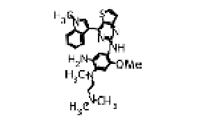 COc1cc(N(C)CCN(C)C)c(N)cc1Nc1nc(-c2cn(C)c3ccccc23)c2sccc2n1